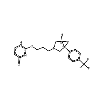 O=c1cc[nH]c(OCCCN2C[C@@H]3C[C@]3(c3ccc(C(F)(F)F)cc3)C2)n1